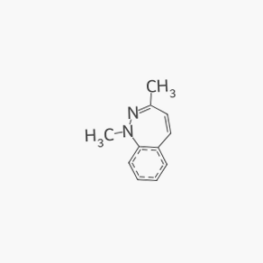 CC1=NN(C)c2ccccc2C=C1